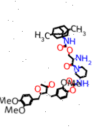 COc1ccc(C[C@H]2OCC(=O)[C@@H]2Cc2ccc(OC(=O)N[C@H]3CCCN(C(=O)[C@@H](N)COC(=O)NC45CC6CC(C)(CC(C)(C6)C4)C5)C3)c(OC)c2)cc1OC